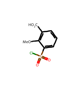 COc1c(C(=O)O)cccc1S(=O)(=O)Cl